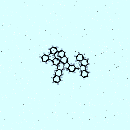 c1ccc2cc3c(cc2c1)c1cc(-n2c4ccccc4c4ccc5ccccc5c42)ccc1n3-c1nc2ccccc2nc1-c1ccc2c3ccccc3c3ccccc3c2c1